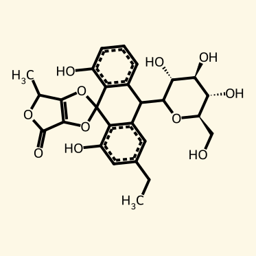 CCc1cc(O)c2c(c1)C(C1O[C@H](CO)[C@@H](O)[C@H](O)[C@H]1O)c1cccc(O)c1C21OC2=C(O1)C(C)OC2=O